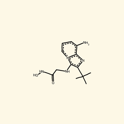 CC(C)(C)c1nc2c(N)cccn2c1NCC(=O)NO